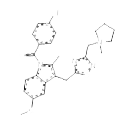 COc1ccc2c(c1)c(Cc1nc(C[N+]3(C)CCCC3)no1)c(C)n2C(=O)c1ccc(Cl)cc1